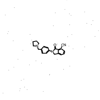 N#Cc1cccc2c1C(=O)N(c1ccc(CN3CCCC3)cc1)C2